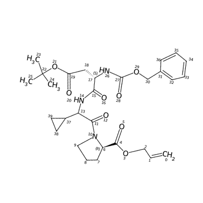 C=CCOC(=O)[C@H]1CCCN1C(=O)C(NC(=O)[C@H](CC(=O)OC(C)(C)C)NC(=O)OCc1ccccc1)C1CC1